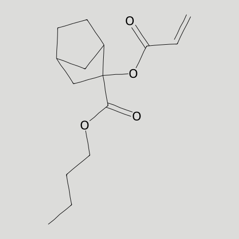 C=CC(=O)OC1(C(=O)OCCCC)CC2CCC1C2